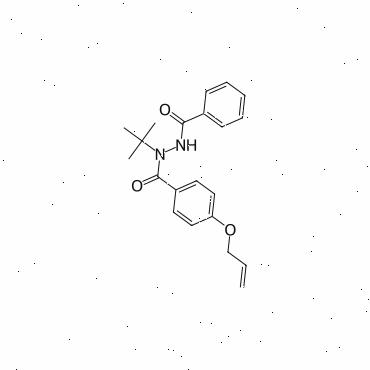 C=CCOc1ccc(C(=O)N(NC(=O)c2ccccc2)C(C)(C)C)cc1